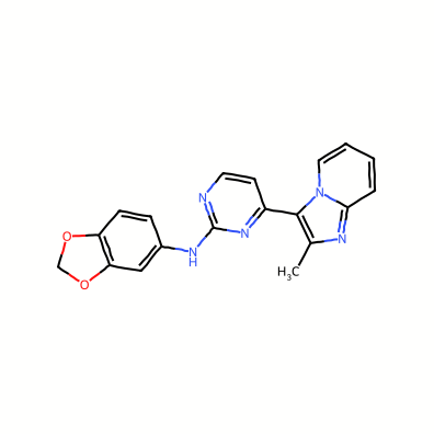 Cc1nc2ccccn2c1-c1ccnc(Nc2ccc3c(c2)OCO3)n1